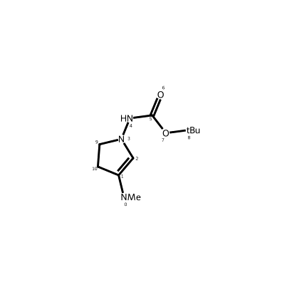 CNC1=CN(NC(=O)OC(C)(C)C)CC1